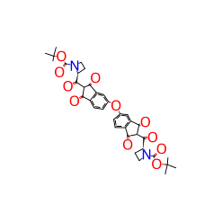 CC(C)(C)OC(=O)N1CC[C@H]1C(=O)C1C(=O)c2ccc(Oc3ccc4c(c3)C(=O)C(C(=O)[C@@H]3CCN3C(=O)OC(C)(C)C)C4=O)cc2C1=O